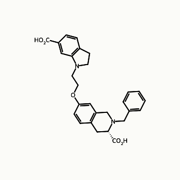 O=C(O)c1ccc2c(c1)N(CCOc1ccc3c(c1)CN(Cc1ccccc1)[C@H](C(=O)O)C3)CC2